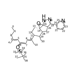 CCC/C(C)=C/C(=C\C=C(/C)C1CC[C@]23OC24NN=C(c2cccnc2)C4CC3C1C)O[Si](C)(C)C(C)(C)C